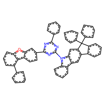 c1ccc(-c2nc(-c3ccc4c(c3)oc3cccc(-c5ccccc5)c34)nc(-n3c4ccccc4c4cc5c(cc43)C(c3ccccc3)(c3ccccc3)c3ccccc3-5)n2)cc1